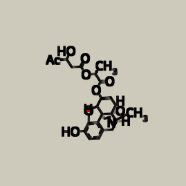 CC(=O)[C@@H](O)CC(=O)O[C@@H](C)C(=O)OC1=CC[C@@]2(O)[C@H]3Cc4ccc(O)c5c4[C@@]2(CCN3C)[C@H]1O5